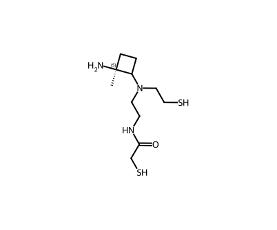 C[C@]1(N)CCC1N(CCS)CCNC(=O)CS